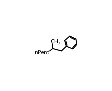 CCCCCC(C)[CH]c1ccccc1